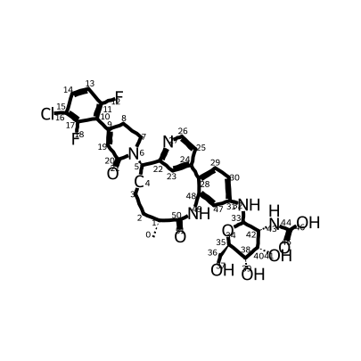 C[C@@H]1CCC[C@H](N2CCC(c3c(F)ccc(Cl)c3F)=CC2=O)c2cc(ccn2)-c2ccc(NC3O[C@H](CO)[C@@H](O)[C@@H](O)[C@H]3NC(=O)O)cc2NC1=O